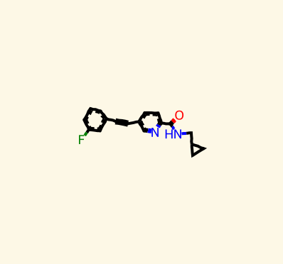 O=C(NCC1CC1)c1ccc(C#Cc2cccc(F)c2)cn1